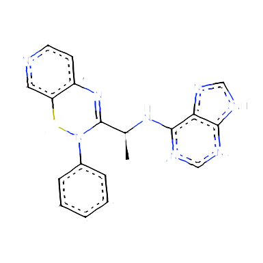 C[C@H](Nc1ncnc2[nH]cnc12)C1=Nc2ccncc2SN1c1ccccc1